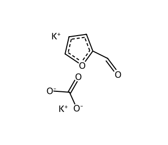 O=C([O-])[O-].O=Cc1ccco1.[K+].[K+]